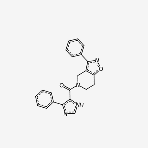 O=C(c1[nH]cnc1-c1ccccc1)N1CCc2onc(-c3ccccc3)c2C1